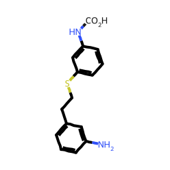 Nc1cccc(CCSc2cccc(NC(=O)O)c2)c1